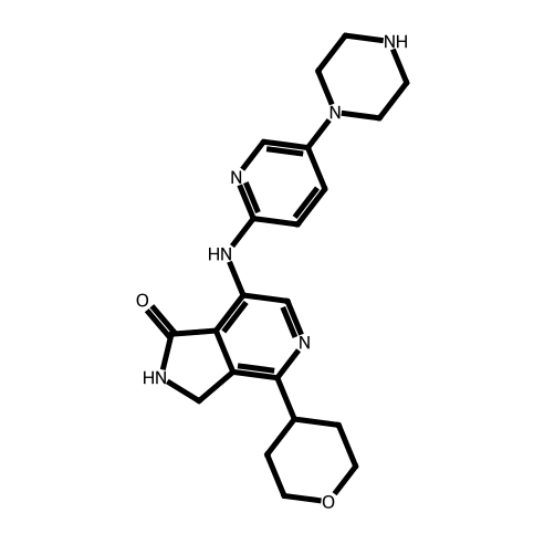 O=C1NCc2c(C3CCOCC3)ncc(Nc3ccc(N4CCNCC4)cn3)c21